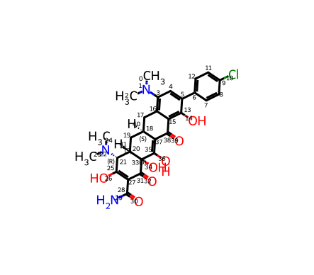 CN(C)c1cc(-c2ccc(Cl)cc2)c(O)c2c1C[C@@H]1C[C@H]3[C@@H](N(C)C)C(O)=C(C(N)=O)C(=O)[C@@]3(O)C(O)=C1C2=O